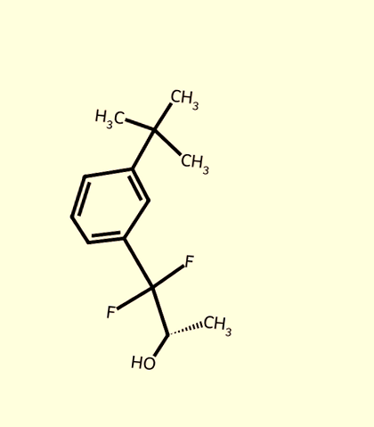 C[C@H](O)C(F)(F)c1cccc(C(C)(C)C)c1